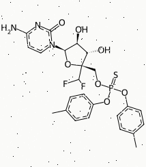 Cc1ccc(OP(=S)(OC[C@@]2(C(F)F)O[C@@H](n3ccc(N)nc3=O)[C@@H](O)[C@@H]2O)Oc2ccc(C)cc2)cc1